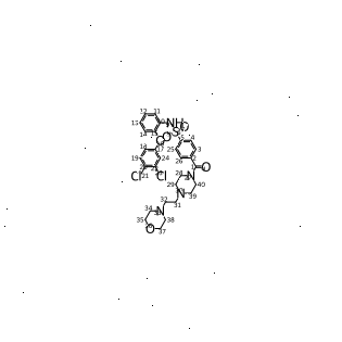 O=C(c1ccc(S(=O)(=O)Nc2ccccc2Oc2ccc(Cl)c(Cl)c2)cc1)N1CCN(CCN2CCOCC2)CC1